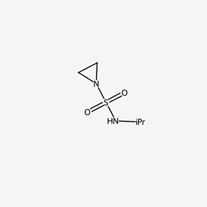 CC(C)NS(=O)(=O)N1CC1